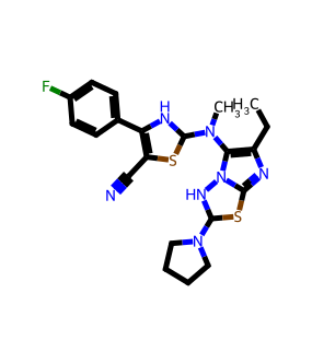 CCc1nc2n(c1N(C)C1NC(c3ccc(F)cc3)=C(C#N)S1)NC(N1CCCC1)S2